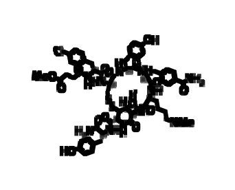 CNCCCC[C@@H]1NC(=O)[C@@H](Cc2ccc(C(N)=O)cc2)NC(=O)[C@H](Cc2ccc(O)cc2)NC(=O)[C@H](NC(=O)[C@H](Cc2ccc(Cl)cc2)NC(=O)CCC(=O)OC)CSSC2[C@@H](C(=O)N[C@H](Cc3ccc(O)cc3)C(N)=O)NC(=O)[C@@H](NC1=O)[C@@H]2O